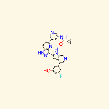 O=C(Nc1cncc(-c2ccc3[nH]nc(-c4cc5c(-c6cc(O)cc(F)c6)cncc5[nH]4)c3n2)c1)C1CC1